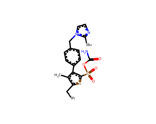 Cc1c(CC(C)C)sc(S(=O)(=O)OC(N)=O)c1-c1ccc(Cn2ccnc2C(C)(C)C)cc1